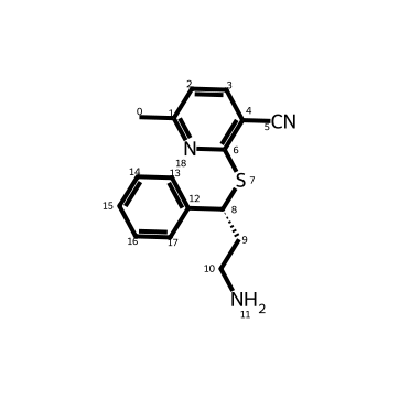 Cc1ccc(C#N)c(S[C@H](CCN)c2ccccc2)n1